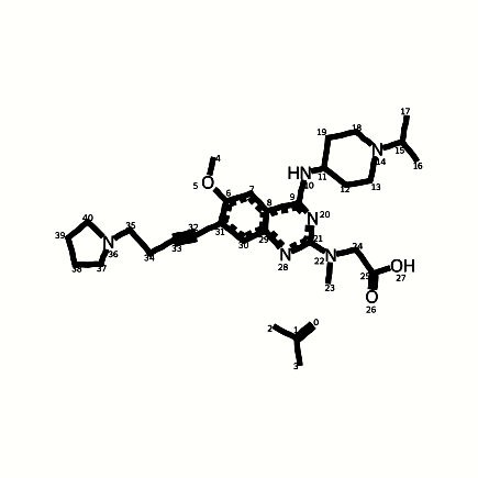 C=C(C)C.COc1cc2c(NC3CCN(C(C)C)CC3)nc(N(C)CC(=O)O)nc2cc1C#CCCN1CCCC1